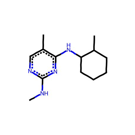 CNc1ncc(C)c(NC2CCCCC2C)n1